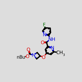 CCCCOC(=O)N1CC(Oc2cc(C)nc(C(=O)Nc3ccc(F)cn3)c2)C1